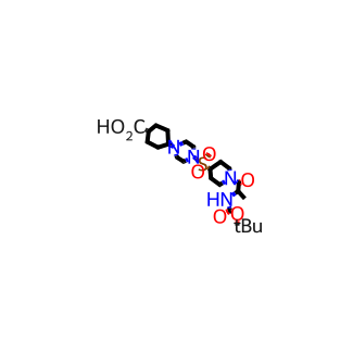 CC(NC(=O)OC(C)(C)C)C(=O)N1CCC(S(=O)(=O)N2CCN(C3CCC(C(=O)O)CC3)CC2)CC1